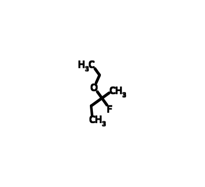 CCOC(C)(F)CC